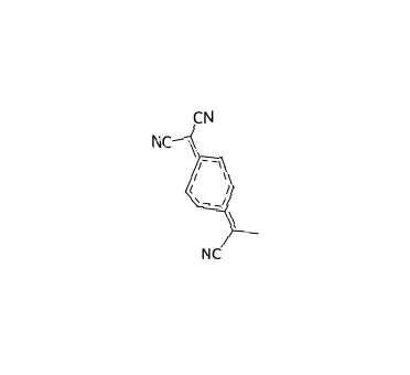 CC(C#N)=c1ccc(=C(C#N)C#N)cc1